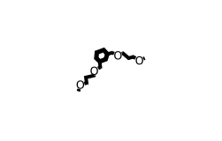 COCCCOCc1cccc(COCCCOC)c1